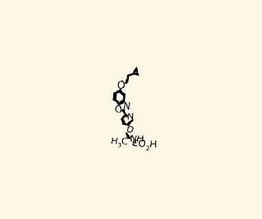 C[C@@H](COc1ccc(-c2nc3cc(OCCC4CC4)ccc3o2)nc1)NC(=O)O